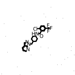 O=C(NC1CCC(Cn2ncc3cccnc32)CC1)c1cc(C(F)(F)F)ccc1Cl